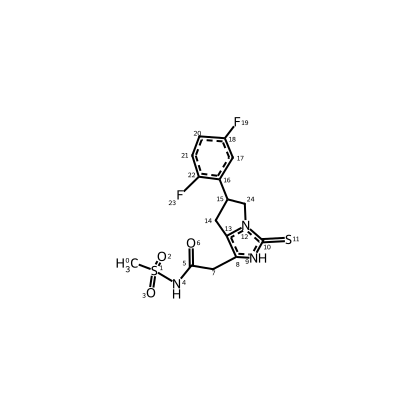 CS(=O)(=O)NC(=O)Cc1[nH]c(=S)n2c1CC(c1cc(F)ccc1F)C2